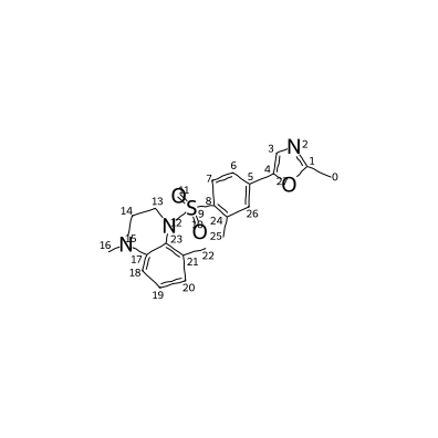 Cc1ncc(-c2ccc(S(=O)(=O)N3CCN(C)c4cccc(C)c43)c(C)c2)o1